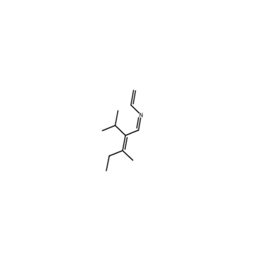 C=C/N=C\C(=C(/C)CC)C(C)C